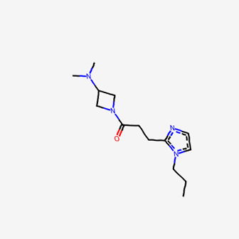 CCCn1ccnc1CCC(=O)N1CC(N(C)C)C1